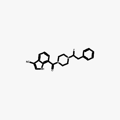 N#Cc1c[nH]c2c(C(=O)N3CCN(C(F)Cc4ccccc4)CC3)cccc12